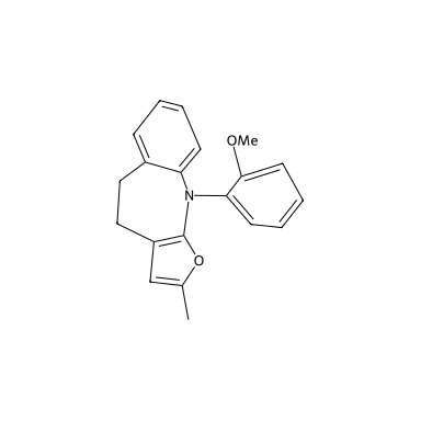 COc1ccccc1N1c2ccccc2CCc2cc(C)oc21